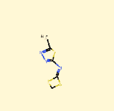 Cc1nnc(N=C2SCS2)s1